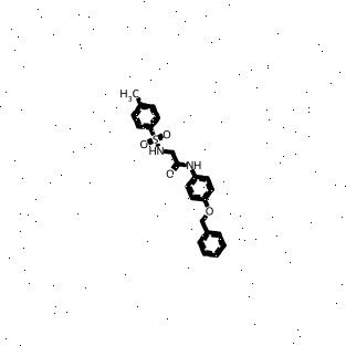 Cc1ccc(S(=O)(=O)NCC(=O)Nc2ccc(OCc3ccccc3)cc2)cc1